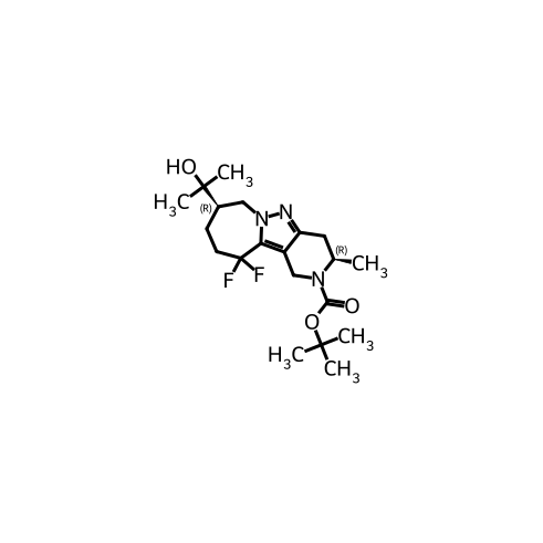 C[C@@H]1Cc2nn3c(c2CN1C(=O)OC(C)(C)C)C(F)(F)CC[C@@H](C(C)(C)O)C3